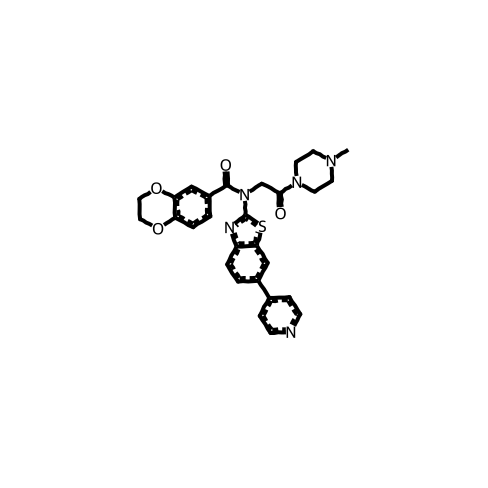 CN1CCN(C(=O)CN(C(=O)c2ccc3c(c2)OCCO3)c2nc3ccc(-c4ccncc4)cc3s2)CC1